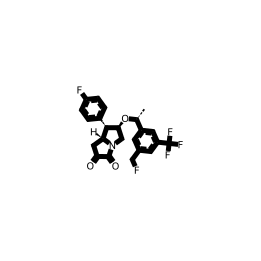 C[C@@H](O[C@H]1CN2C(=O)C(=O)C[C@H]2[C@@H]1c1ccc(F)cc1)c1cc(CF)cc(C(F)(F)F)c1